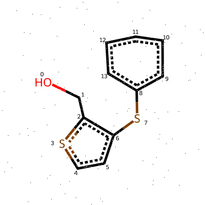 OCc1sccc1Sc1ccccc1